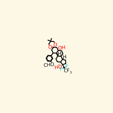 CC1(C)COC2(CC(c3cccc(C=O)c3)C3=C4CC[C@@]5(C)[C@@H](CC[C@@]5(O)C(F)(F)C(F)(F)F)[C@@H]4CC[C@@]3(O)C2)OC1